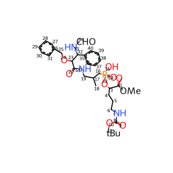 COC(=O)C(CCCNC(=O)OC(C)(C)C)OP(=O)(O)CC(C)CNC(=O)C(OCc1ccccc1)C(NC=O)c1ccccc1